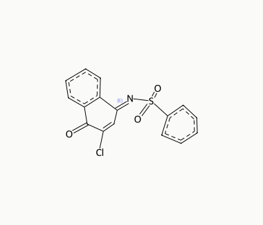 O=C1C(Cl)=C/C(=N\S(=O)(=O)c2ccccc2)c2ccccc21